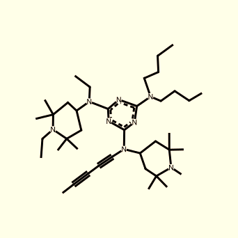 CC#CC#CN(c1nc(N(CCCC)CCCC)nc(N(CC)C2CC(C)(C)N(CC)C(C)(C)C2)n1)C1CC(C)(C)N(C)C(C)(C)C1